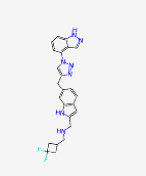 FC1(F)CC(CNCc2cc3ccc(Cc4cn(-c5cccc6[nH]ncc56)nn4)cc3[nH]2)C1